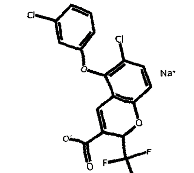 O=C([O-])C1=Cc2c(ccc(Cl)c2Oc2cccc(Cl)c2)OC1C(F)(F)F.[Na+]